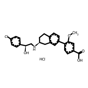 COc1cc(C(=O)O)ccc1-c1ccc2c(c1)C[C@@H](NC[C@@H](O)c1ccc(Cl)cc1)CC2.Cl